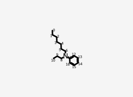 CCCCCCCN(CCC)c1ccccc1